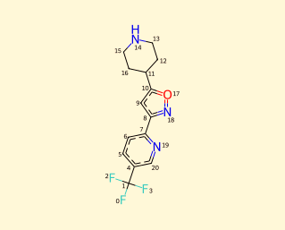 FC(F)(F)c1ccc(-c2cc(C3CCNCC3)on2)nc1